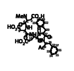 CNC(CC(=O)O)C(=O)NC(CC(=O)O)C(=O)NC(CC(=O)O)C(=O)NC(Cc1ccccc1)C(=O)NC(Cc1ccccc1)C(C)=O